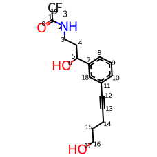 O=C(NCCC(O)c1cccc(C#CCCCO)c1)C(F)(F)F